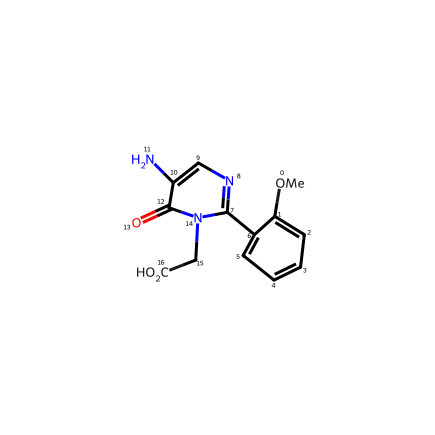 COc1ccccc1-c1ncc(N)c(=O)n1CC(=O)O